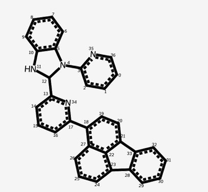 c1ccc(N2c3ccccc3NC2c2cccc(-c3ccc4c5c(cccc35)-c3ccccc3-4)n2)nc1